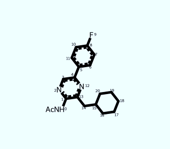 CC(=O)Nc1ncc(-c2ccc(F)cc2)nc1CC1CCCCC1